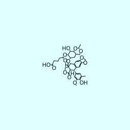 COc1cc([C@@H]2c3cc4c(cc3[C@@H](OC3CC5COC(C)OC5C(O)C3OC(=O)CCCC(=O)O)[C@H]3COC(=O)[C@H]23)OCO4)cc(C)c1O